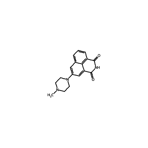 CN1CCN(c2cc3c4c(cccc4c2)C(=O)NC3=O)CC1